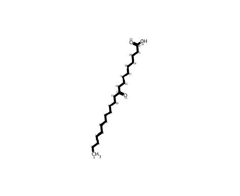 CCCCCCCCCCCCC(=O)CCCCCCCCC(=O)O